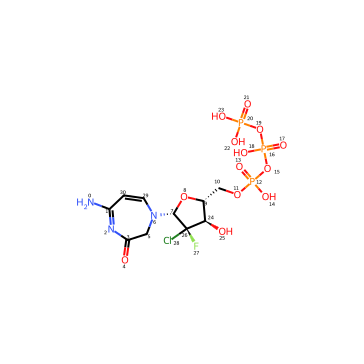 NC1=NC(=O)CN([C@@H]2O[C@H](COP(=O)(O)OP(=O)(O)OP(=O)(O)O)[C@@H](O)[C@]2(F)Cl)C=C1